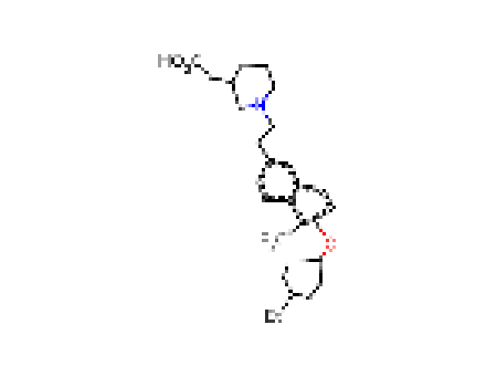 CCC1CCC(Oc2ccc3cc(CCN4CCCC(CC(=O)O)C4)ccc3c2C(F)(F)F)CC1